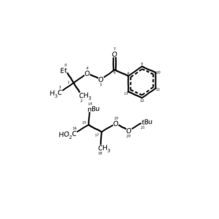 CCC(C)(C)OOC(=O)c1ccccc1.CCCCC(C(=O)O)C(C)OOC(C)(C)C